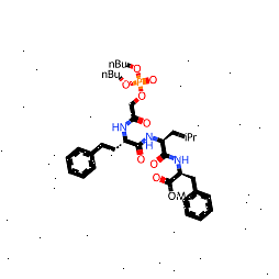 CCCCOP(=O)(OCCCC)OCC(=O)N[C@@H](CCc1ccccc1)C(=O)N[C@@H](CC(C)C)C(=O)N[C@@H](Cc1ccccc1)C(=O)OC